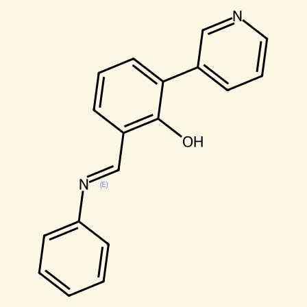 Oc1c(/C=N/c2ccccc2)cccc1-c1cccnc1